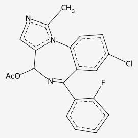 CC(=O)OC1N=C(c2ccccc2F)c2cc(Cl)ccc2-n2c1cnc2C